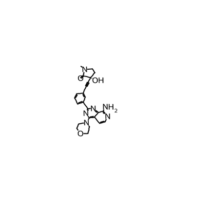 CN1CC[C@@](O)(C#Cc2cccc(-c3nc(N4CCOCC4)c4ccnc(N)c4n3)c2)C1=O